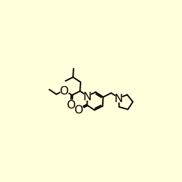 CCOC(=O)C(CC(C)C)n1cc(CN2CCCC2)ccc1=O